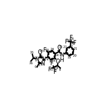 Cc1nn(-c2cc(OC(C)C(F)(F)F)c(C(=O)Nc3cccc(C(F)(F)F)c3)cc2F)c(=O)n1C(C)C